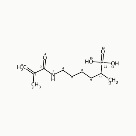 C=C(C)C(=O)NCCCCC(C)P(=O)(O)O